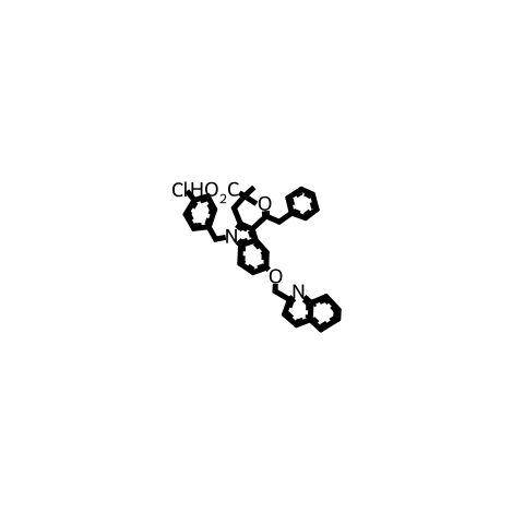 CC(C)(Cc1c(C(=O)Cc2ccccc2)c2cc(OCc3ccc4ccccc4n3)ccc2n1Cc1ccc(Cl)cc1)C(=O)O